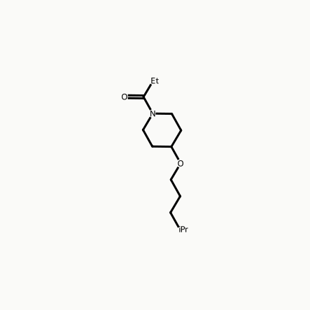 CCC(=O)N1CCC(OCCCC(C)C)CC1